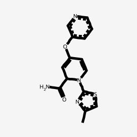 Cc1csc(N2C=CC(Oc3cccnc3)=CC2C(N)=O)n1